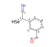 N#CC([SeH])c1cccc([C]=O)c1